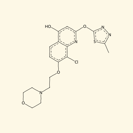 Cc1nnc(Oc2cc(O)c3ccc(OCCN4CCOCC4)c(Cl)c3n2)s1